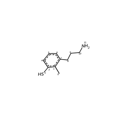 Cc1c(S)cccc1CCCN